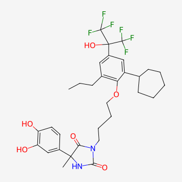 CCCc1cc(C(O)(C(F)(F)F)C(F)(F)F)cc(C2CCCCC2)c1OCCCCN1C(=O)NC(C)(c2ccc(O)c(O)c2)C1=O